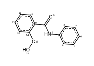 O=C(Nc1ccccc1)c1ccccc1OO